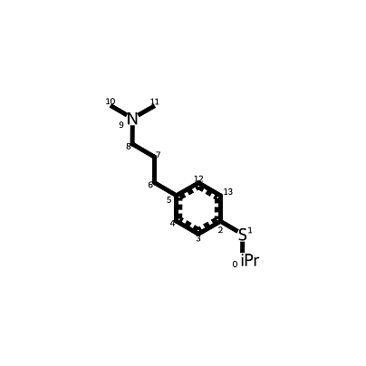 CC(C)Sc1ccc(CCCN(C)C)cc1